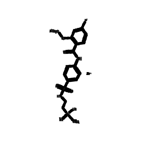 CCCCCCCOc1cc(F)ccc1C(=O)Nc1ccc(S(=O)(=O)NCC[N+](CC)(CC)CCCC)cc1.[Br-]